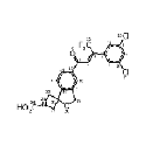 O=C(/C=C(/c1cc(Cl)cc(Cl)c1)C(F)(F)F)c1ccc2c(c1)COC21CN(C(=O)O)C1